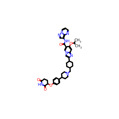 CC(C)Oc1cc2nc(C3CCC(CN4CCC(c5ccc(OC6CCC(=O)NC6=O)cc5)CC4)CC3)cn2cc1C(=O)Nc1cnn2cccnc12